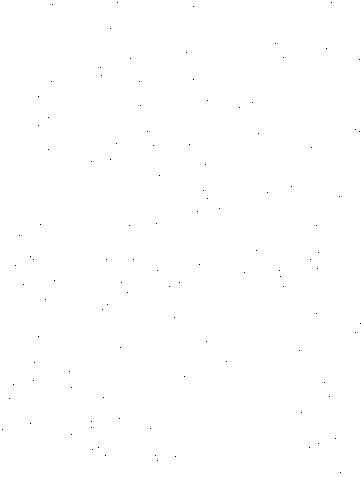 O=C1CC2(CC2)CS1